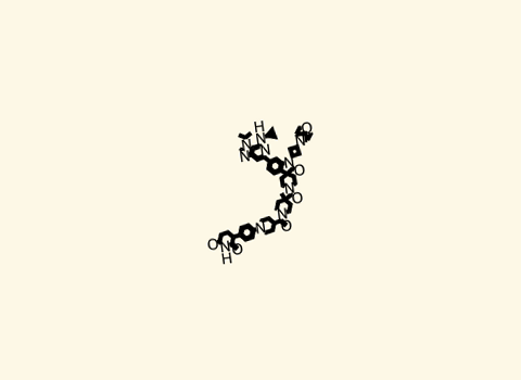 CC(C)n1cnc2cc(-c3ccc4c(c3)N([C@H]3C[C@@H](N5C6COCC5C6)C3)C(=O)C43CCN(C(=O)C4(C)CCN(C(=O)C5CCN(c6ccc(C7CCC(=O)NC7=O)cc6)CC5)CC4)CC3)nc(NC3CC3)c21